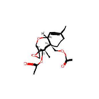 CC(=O)OC[C@]12CCC(C)=C[C@H]1OC1CC(OC(C)=O)[C@@]2(C)C12CO2